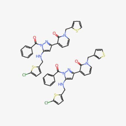 O=C(c1ccccc1)n1nc(-c2cccn(Cc3cccs3)c2=O)cc1NCc1ccc(Cl)s1.O=C(c1ccccc1)n1nc(-c2cccn(Cc3ccsc3)c2=O)cc1NCc1ccc(Cl)s1